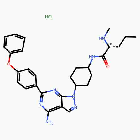 CCC[C@@H](NC)C(=O)NC1CCC(n2ncc3c(N)nc(-c4ccc(Oc5ccccc5)cc4)nc32)CC1.Cl